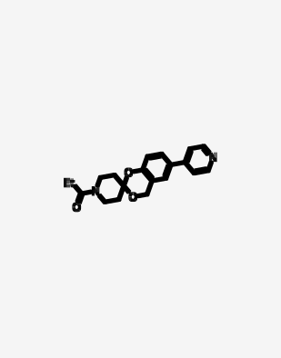 CCC(=O)N1CCC2(CC1)OCc1cc(-c3ccncc3)ccc1O2